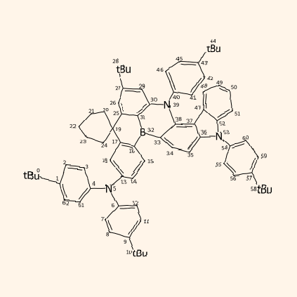 CC(C)(C)c1ccc(N(c2ccc(C(C)(C)C)cc2)c2ccc3c(c2)C2(CCCCC2)c2cc(C(C)(C)C)cc4c2B3c2ccc3c(c2N4c2ccc(C(C)(C)C)cc2)c2ccccc2n3-c2ccc(C(C)(C)C)cc2)cc1